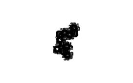 c1ccc(N(c2ccc3oc4ccc5c(ccc6oc7ccccc7c65)c4c3c2)c2cccc3c2oc2ccccc23)cc1